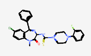 CN1C(=O)C(NC(=S)N2CCN(c3ccccc3F)CC2)N=C(c2ccccc2)c2cc(Cl)ccc21